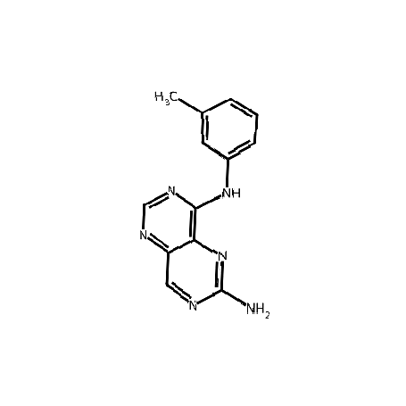 Cc1cccc(Nc2ncnc3cnc(N)nc23)c1